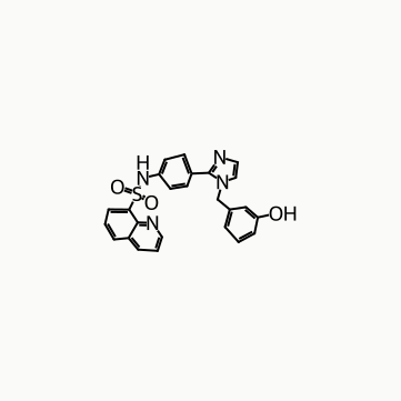 O=S(=O)(Nc1ccc(-c2nccn2Cc2cccc(O)c2)cc1)c1cccc2cccnc12